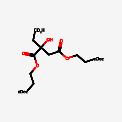 CCCCCCCCCCCCOC(=O)CC(O)(CC(=O)O)C(=O)OCCCCCCCCCCCC